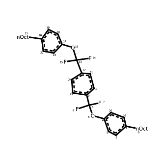 CCCCCCCCc1ccc(OC(F)(F)c2ccc(C(F)(F)Oc3ccc(CCCCCCCC)cc3)cc2)cc1